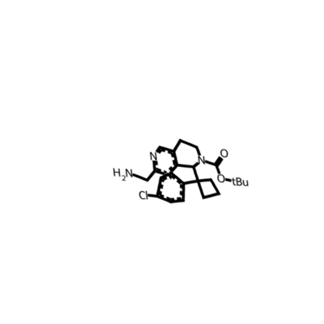 CC(C)(C)OC(=O)N1CCc2cnc(CN)nc2C1C1(c2ccc(Cl)cc2)CCC1